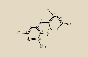 [2H]c1cc(Sc2ncc(Cl)nc2C)c(Cl)c(N)n1